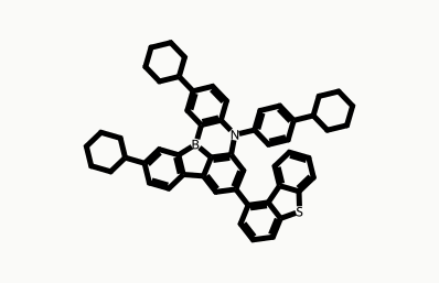 c1ccc2c(c1)sc1cccc(-c3cc4c5c(c3)N(c3ccc(C6CCCCC6)cc3)c3ccc(C6CCCCC6)cc3B5c3cc(C5CCCCC5)ccc3-4)c12